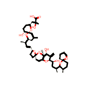 C=C1[C@@H](O)[C@@H]2O[C@@]3(CCC2O[C@@H]1[C@@H](O)C[C@H](C)C1O[C@@]2(CCCCO2)CC[C@H]1C)CC[C@H](/C=C/[C@@H](C)[C@@H]1CC(C)=C[C@@]2(O[C@H](CC(C)(O)C(=O)O)CC[C@H]2O)O1)O3